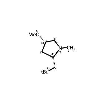 CO[C@H]1C[C@@H](CC(C)(C)C)N(C)C1